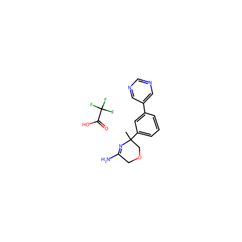 CC1(c2cccc(-c3cncnc3)c2)COCC(N)=N1.O=C(O)C(F)(F)F